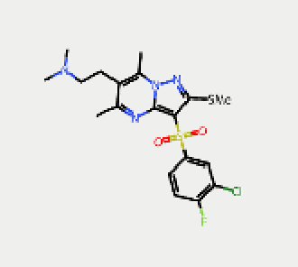 CSc1nn2c(C)c(CCN(C)C)c(C)nc2c1S(=O)(=O)c1ccc(F)c(Cl)c1